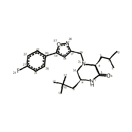 CC(C)C[C@H]1C(=O)N[C@@H](CC(C)(C)C)CN1Cc1cc(-c2ccc(F)cc2)on1